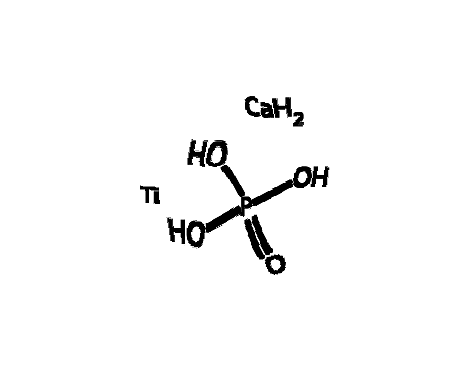 O=P(O)(O)O.[CaH2].[Ti]